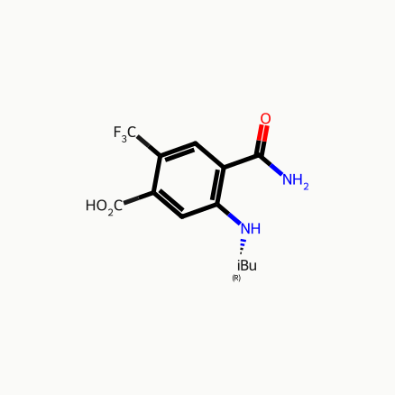 CC[C@@H](C)Nc1cc(C(=O)O)c(C(F)(F)F)cc1C(N)=O